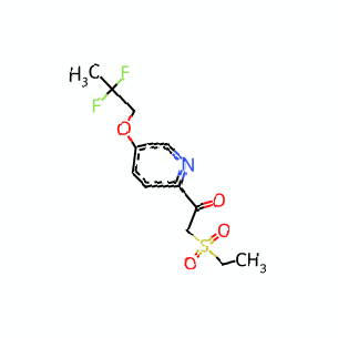 CCS(=O)(=O)CC(=O)c1ccc(OCC(C)(F)F)cn1